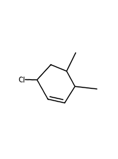 CC1C=CC(Cl)CC1C